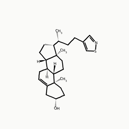 C[C@H](CCc1cnsc1)[C@H]1CC[C@H]2[C@@H]3CC=C4C[C@@H](O)CC[C@]4(C)[C@H]3CC[C@]12C